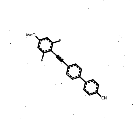 COc1cc(F)c(C#Cc2ccc(-c3ccc(C#N)cc3)cc2)c(F)c1